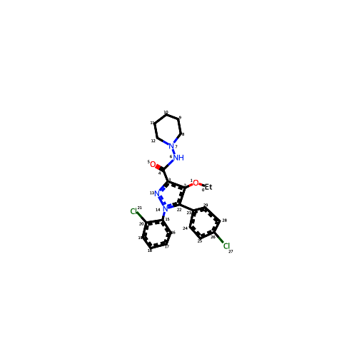 CCOc1c(C(=O)NN2CCCCC2)nn(-c2ccccc2Cl)c1-c1ccc(Cl)cc1